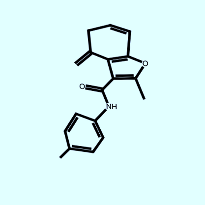 C=C1CC=Cc2oc(C)c(C(=O)Nc3ccc(C)cc3)c21